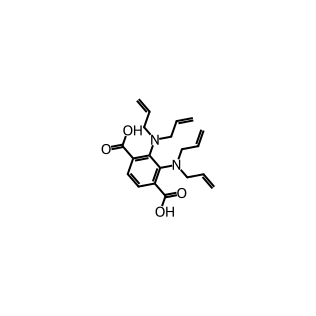 C=CCN(CC=C)c1c(C(=O)O)ccc(C(=O)O)c1N(CC=C)CC=C